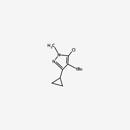 Cn1nc(C2CC2)c(C(C)(C)C)c1Cl